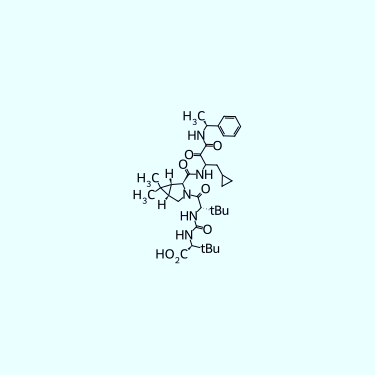 C[C@H](NC(=O)C(=O)C(CC1CC1)NC(=O)[C@@H]1[C@@H]2[C@H](CN1C(=O)[C@@H](NC(=O)N[C@H](C(=O)O)C(C)(C)C)C(C)(C)C)C2(C)C)c1ccccc1